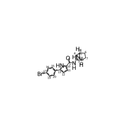 O=C(N[C@@H]1C[C@H]2CC[C@@H]1N2)c1ccc(-c2ccc(Br)cc2)[nH]1